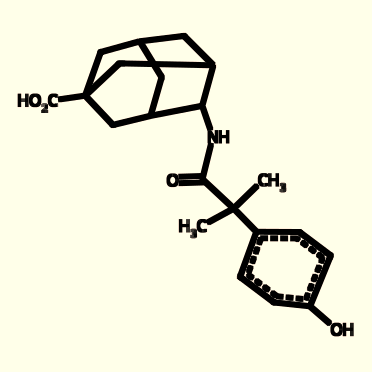 CC(C)(C(=O)NC1C2CC3CC1CC(C(=O)O)(C3)C2)c1ccc(O)cc1